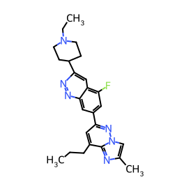 CCCc1cc(-c2cc(F)c3cc(C4CCN(CC)CC4)nnc3c2)nn2cc(C)nc12